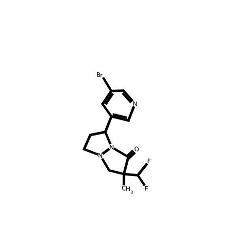 CC1(C(F)F)CN2CCC(c3cncc(Br)c3)N2C1=O